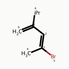 C=C(/C=C(\C)Br)C(C)C